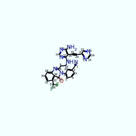 N#Cc1cccc(-n2c(CCNc3ncnc(N)c3C#Cc3cnccn3)nc3cccc(C(F)F)c3c2=O)c1